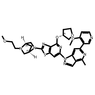 COCCN1C[C@H]2C[C@@H]1CN2c1nc2c(O[C@@H]3CCOC3)nc(-n3ncc4c(C)nc(-c5cnccc5OC)cc43)cc2s1